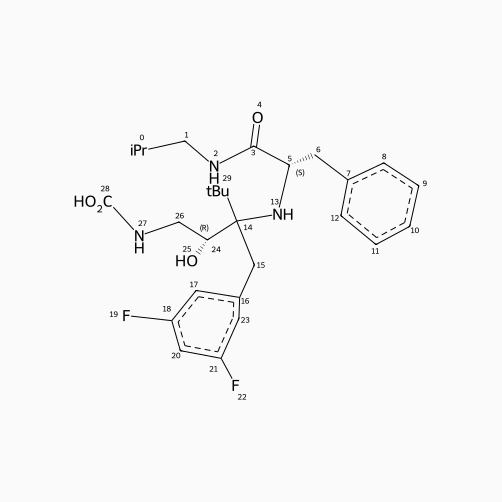 CC(C)CNC(=O)[C@H](Cc1ccccc1)NC(Cc1cc(F)cc(F)c1)([C@H](O)CNC(=O)O)C(C)(C)C